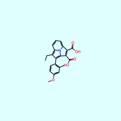 CCc1c(-c2ccc(OC)cc2C)c2c(C(=O)O)c(C(=O)O)c3cccc1n32